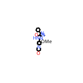 COc1cc(N2CCC(=O)CC2)ccc1-c1nc2c(c(C3CCCCC3)nn2C)c(=O)[nH]1